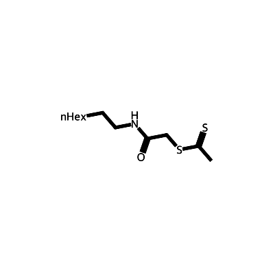 CCCCCCCCNC(=O)CSC(C)=S